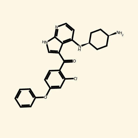 N[C@H]1CC[C@@H](Nc2ccnc3[nH]cc(C(=O)c4ccc(Oc5ccccc5)cc4Cl)c23)CC1